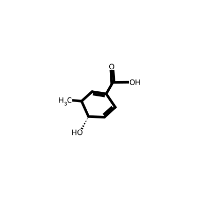 CC1C=C(C(=O)O)C=C[C@@H]1O